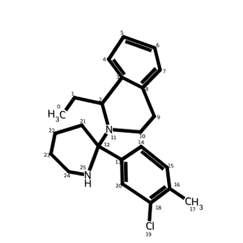 CCC1c2ccccc2CCN1C1(c2ccc(C)c(Cl)c2)CCCCN1